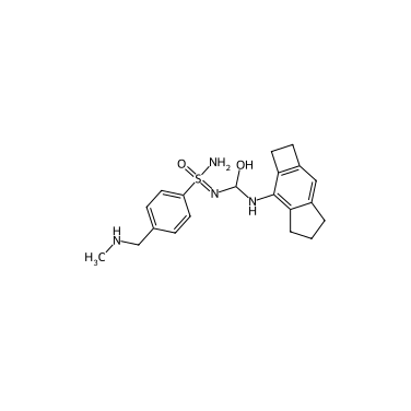 CNCc1ccc(S(N)(=O)=NC(O)Nc2c3c(cc4c2CC4)CCC3)cc1